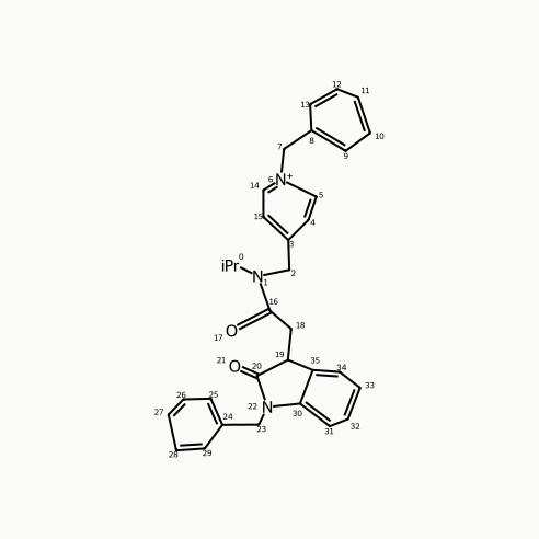 CC(C)N(Cc1cc[n+](Cc2ccccc2)cc1)C(=O)CC1C(=O)N(Cc2ccccc2)c2ccccc21